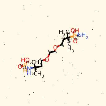 CC(C)(CCOCCOCCC(C)(C)P(N)(=O)O)N[PH](=O)O